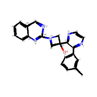 Cc1cccc(-c2nccnc2C2(O)CN(c3ncc4ccccc4n3)C2)c1